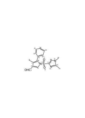 Cc1c(C=O)cn(S(=O)(=O)c2cn(C)c(C)n2)c1-c1ccccc1